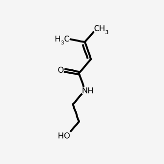 CC(C)=CC(=O)NCCO